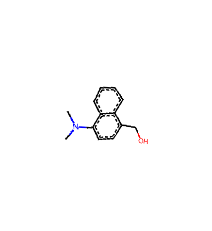 CN(C)c1ccc(CO)c2ccccc12